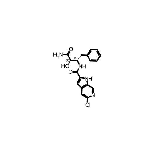 NC(=O)[C@H](O)[C@H](Cc1ccccc1)NC(=O)c1cc2cc(Cl)ncc2[nH]1